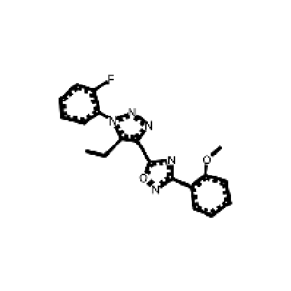 CCc1c(-c2nc(-c3ccccc3OC)no2)nnn1-c1ccccc1F